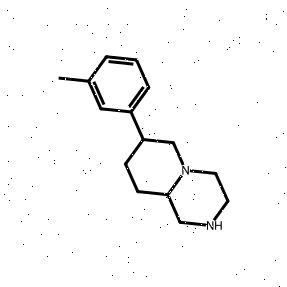 Cc1cccc(C2CCC3CNCCN3C2)c1